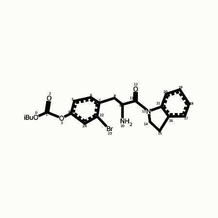 CC(C)COC(=O)Oc1ccc(CC(N)C(=O)N2CCc3ccccc32)c(Br)c1